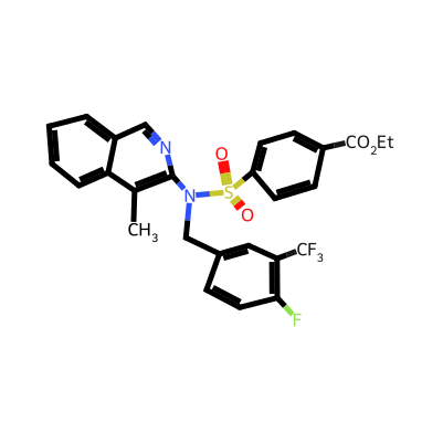 CCOC(=O)c1ccc(S(=O)(=O)N(Cc2ccc(F)c(C(F)(F)F)c2)c2ncc3ccccc3c2C)cc1